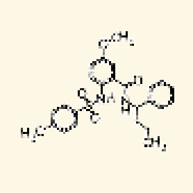 CCCC(NC(=O)c1cc(OC)ccc1NS(=O)(=O)c1ccc(C)cc1)c1ccccc1